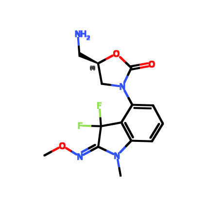 CON=C1N(C)c2cccc(N3C[C@@H](CN)OC3=O)c2C1(F)F